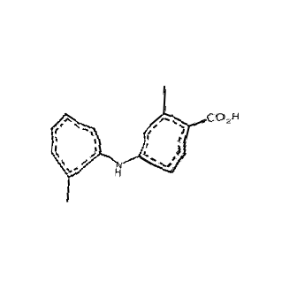 Cc1ccccc1Nc1ccc(C(=O)O)c(C)c1